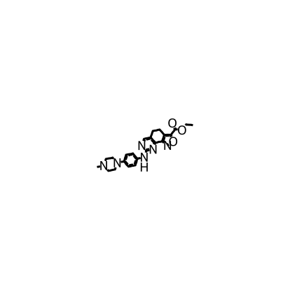 CCOC(=O)c1onc2c1CCc1cnc(Nc3ccc(N4CCN(C)CC4)cc3)nc1-2